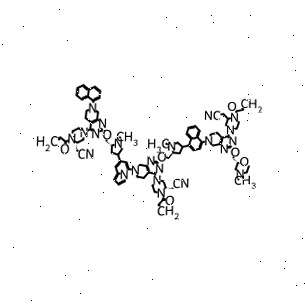 C=CC(=O)N1CCN(c2nc(OC[C@H]3CN(C)CCO3)nc3c2CCN(c2ccc(C4C[C@@H](COc5nc6c(c(N7CCN(C(=O)C=C)[C@@H](CC#N)C7)n5)CCN(c5cc(C7C[C@H](COc8nc9c(c(N%10CCN(C(=O)C=C)[C@@H](CC#N)C%10)n8)CCN(c8cccc%10ccccc8%10)C9)N(C)C7)cc7cccn57)C6)N(C)C4)c4ccccc24)C3)CC1CC#N